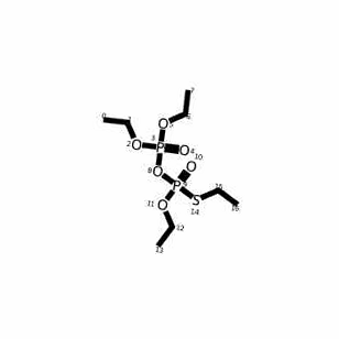 CCOP(=O)(OCC)OP(=O)(OCC)SCC